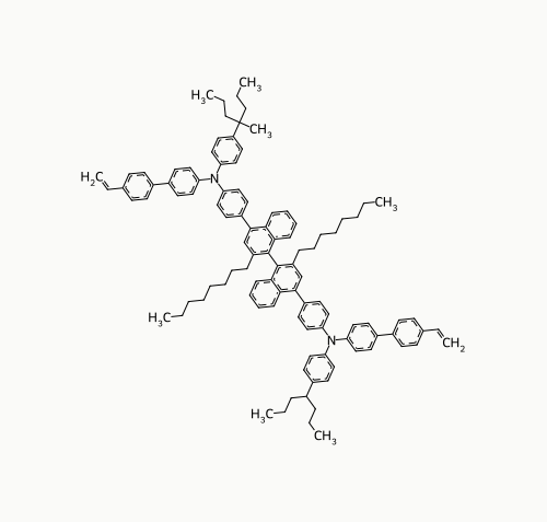 C=Cc1ccc(-c2ccc(N(c3ccc(-c4cc(CCCCCCCC)c(-c5c(CCCCCCCC)cc(-c6ccc(N(c7ccc(-c8ccc(C=C)cc8)cc7)c7ccc(C(C)(CCC)CCC)cc7)cc6)c6ccccc56)c5ccccc45)cc3)c3ccc(C(CCC)CCC)cc3)cc2)cc1